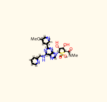 CNC(=O)[C@@H]1[C@@H](O)[C@@H](O)[C@H](n2cnc3c(NCc4ccccn4)nc(-c4cncc(OC)c4)nc32)S1(=O)=O